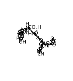 CC1=C(C)C(=O)C(C(C)(C)CC(=O)N(C)CCN(CCOCCOCCC(=O)NCCCCC(NC(=O)CC[C@@H](C)[C@H]2CC[C@H]3[C@@H]4CC[C@@H]5C[C@H](O)CC[C@]5(C)[C@H]4C[C@H](O)[C@@H]32)C(=O)O)C(=O)Oc2ccc3nc(C#N)sc3c2)=C(C)C1=O